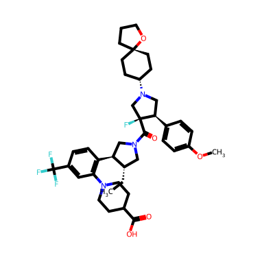 CC[C@H]1CN(C(=O)[C@]2(F)CN([C@H]3CC[C@]4(CCCO4)CC3)C[C@H]2c2ccc(OC)cc2)C[C@@H]1c1ccc(C(F)(F)F)cc1N1CCC(C(=O)O)CC1